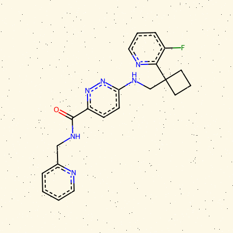 O=C(NCc1ccccn1)c1ccc(NCC2(c3ncccc3F)CCC2)nn1